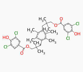 Cc1c(C)c(CC(C)(C)COC(=O)c2cc(Cl)c(O)c(Cl)c2)c(C)c(C)c1CC(C)(C)COC(=O)c1cc(Cl)c(O)c(Cl)c1